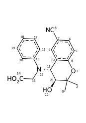 CC1(C)Oc2ccc(C#N)cc2[C@@H](N(CC(=O)O)c2ccccc2)[C@@H]1O